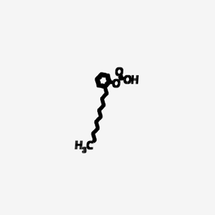 CCCCCCCCCCc1ccccc1OC(=O)O